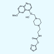 COc1ccc2nccc([C@@H](O)CN3CCN(CCNC(=O)Oc4ccco4)CC3)c2c1